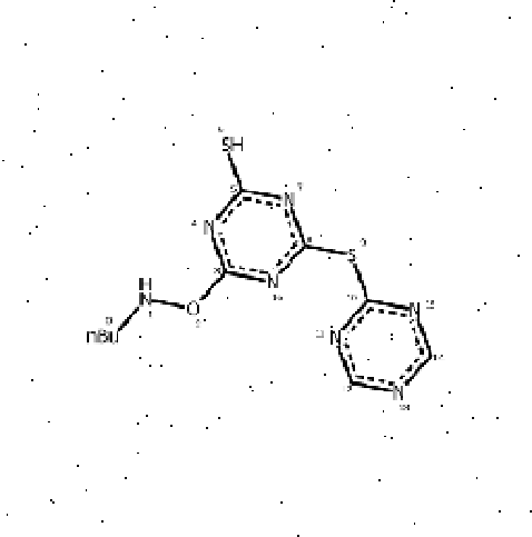 CCCCNOc1nc(S)nc(Sc2ncncn2)n1